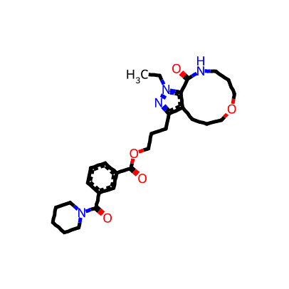 CCn1nc(CCCOC(=O)c2cccc(C(=O)N3CCCCC3)c2)c2c1C(=O)NCCCOCCC2